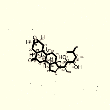 CC(C)[C@H](C)[C@@H](O)[C@H](O)[C@@H](C)[C@H]1CC[C@H]2[C@@H]3CC(=O)[C@H]4C[C@H]5O[C@H]5C[C@]4(C)[C@H]3CC[C@]12C